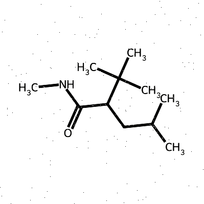 CNC(=O)C(CC(C)C)C(C)(C)C